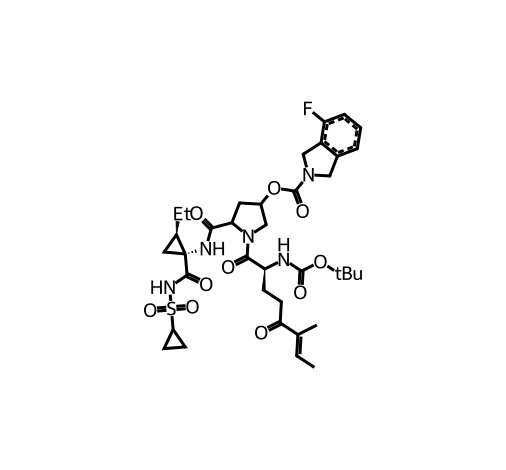 C/C=C(\C)C(=O)CC[C@H](NC(=O)OC(C)(C)C)C(=O)N1CC(OC(=O)N2Cc3cccc(F)c3C2)CC1C(=O)N[C@]1(C(=O)NS(=O)(=O)C2CC2)C[C@H]1CC